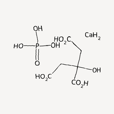 O=C(O)CC(O)(CC(=O)O)C(=O)O.O=P(O)(O)O.[CaH2]